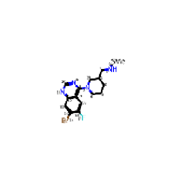 CSNCC1CCCN(c2ncnc3cc(Br)c(F)cc23)C1